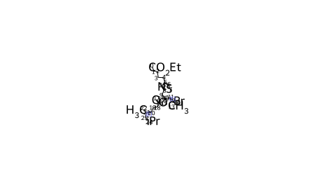 CCOC(=O)CCCCc1csc(C[C@@H](/C=C(\C)Br)OC(=O)CC/C=C(\C)CC(C)C)n1